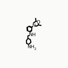 CC1CN(c2cccc(NCC3CCC(N)CC3)c2)CC(C)O1